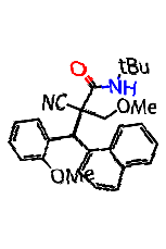 COCC(C#N)(C(=O)NC(C)(C)C)C(c1ccccc1OC)c1cccc2ccccc12